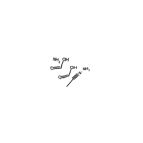 CC#N.N.N.O=CO.O=CO